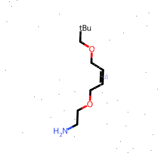 CC(C)(C)COC/C=C\COCCN